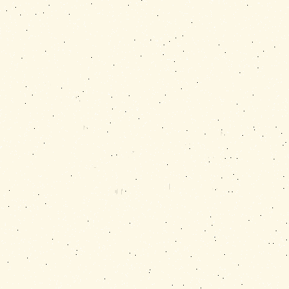 O=c1[nH]c(=O)n([C@@H]2O[C@H](COP(=O)(O)OP(=O)(O)OP(=O)(O)NC3CCCCC3)C(O)[C@@H]2O)cc1I